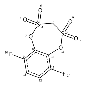 O=S1(=O)CS(=O)(=O)Oc2c(F)ccc(F)c2O1